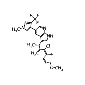 C=C(/C(Cl)=C(F)\C=C/COC)[C@@H](C)c1c[nH]c2ncc(-c3cn(C)nc3C(F)(F)F)cc12